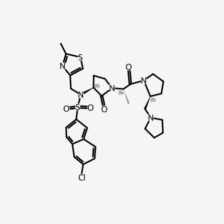 Cc1nc(CN([C@H]2CCN([C@@H](C)C(=O)N3CCC[C@H]3CN3CCCC3)C2=O)S(=O)(=O)c2ccc3cc(Cl)ccc3c2)cs1